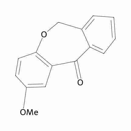 COc1ccc2c(c1)C(=O)c1ccccc1CO2